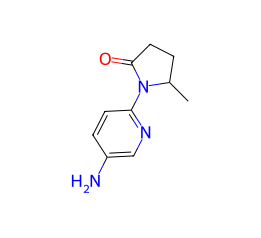 CC1CCC(=O)N1c1ccc(N)cn1